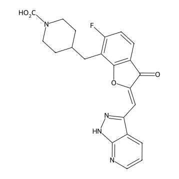 O=C1C(=Cc2n[nH]c3ncccc23)Oc2c1ccc(F)c2CC1CCN(C(=O)O)CC1